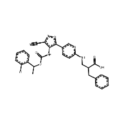 CC(OC(=O)Nc1c(C#N)noc1-c1ccc(NCC(Cc2ccccc2)C(=O)O)nc1)c1ccccc1Cl